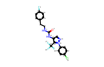 O=C(NCCc1ccc(F)cc1)Nc1cnn(-c2ccc(Cl)cc2)c1C(F)(F)F